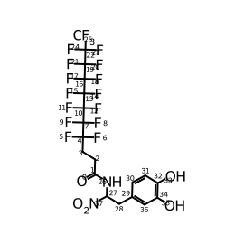 O=C(CCC(F)(F)C(F)(F)C(F)(F)C(F)(F)C(F)(F)C(F)(F)C(F)(F)C(F)(F)F)NC(Cc1ccc(O)c(O)c1)[N+](=O)[O-]